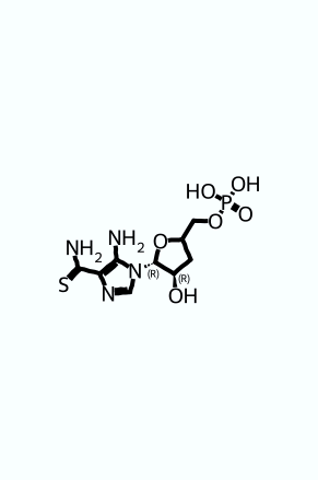 NC(=S)c1ncn([C@@H]2OC(COP(=O)(O)O)C[C@H]2O)c1N